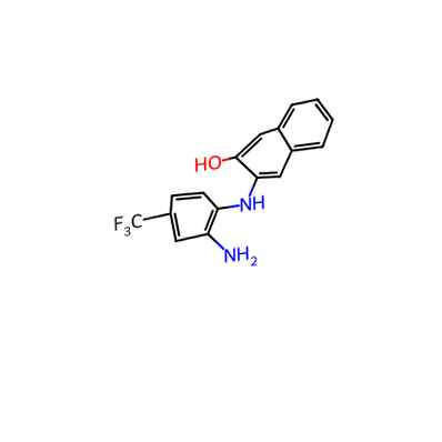 Nc1cc(C(F)(F)F)ccc1Nc1cc2ccccc2cc1O